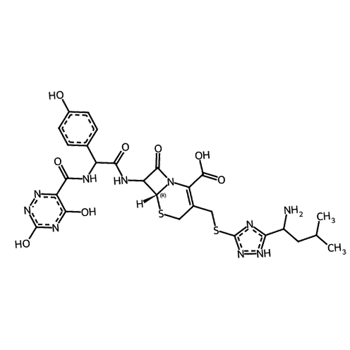 CC(C)CC(N)c1nc(SCC2=C(C(=O)O)N3C(=O)C(NC(=O)C(NC(=O)c4nnc(O)nc4O)c4ccc(O)cc4)[C@H]3SC2)n[nH]1